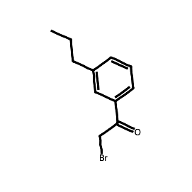 CCCc1cccc(C(=O)CBr)c1